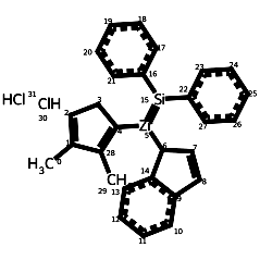 CC1=CC[C]([Zr]([CH]2C=Cc3ccccc32)=[Si](c2ccccc2)c2ccccc2)=C1C.Cl.Cl